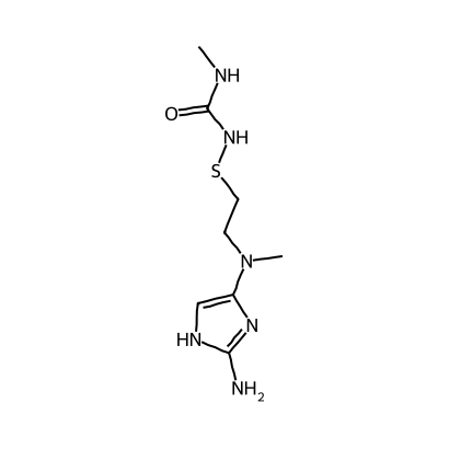 CNC(=O)NSCCN(C)c1c[nH]c(N)n1